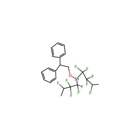 CC(F)C(F)(F)[C](F)(F)[Sn]([O]CC(c1ccccc1)c1ccccc1)[C](F)(F)C(F)(F)C(C)F